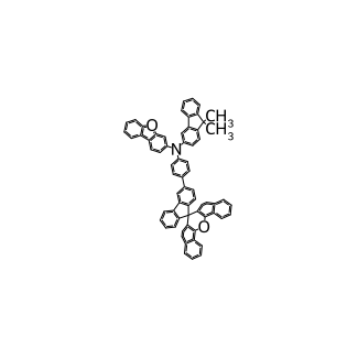 CC1(C)c2ccccc2-c2cc(N(c3ccc(-c4ccc5c(c4)-c4ccccc4C54c5ccc6ccccc6c5Oc5c4ccc4ccccc54)cc3)c3ccc4c(c3)oc3ccccc34)ccc21